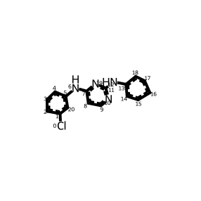 Clc1cccc(Nc2ccnc(Nc3ccccc3)n2)c1